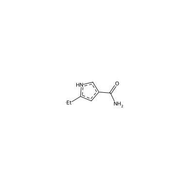 C[CH]c1cc(C(N)=O)c[nH]1